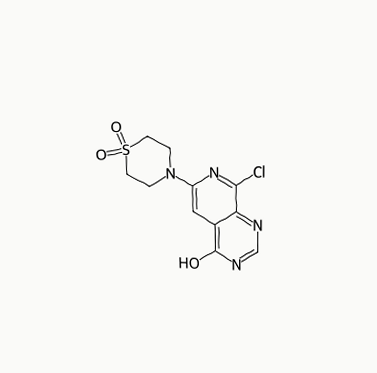 O=S1(=O)CCN(c2cc3c(O)ncnc3c(Cl)n2)CC1